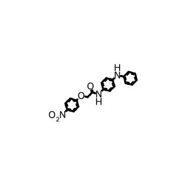 O=C(COc1ccc([N+](=O)[O-])cc1)Nc1ccc(Nc2ccccc2)cc1